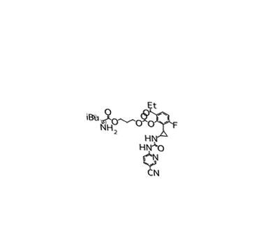 CCC(=O)c1ccc(F)c(C2CC2NC(=O)Nc2ccc(C#N)cn2)c1OC(=O)OCCCOC(=O)[C@@H](N)[C@@H](C)CC